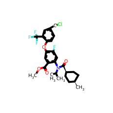 COC(=O)c1cc(Oc2ccc(CCl)cc2C(F)(F)F)c(F)cc1N(C(=O)[C@H]1CC[C@H](C)CC1)C(C)C